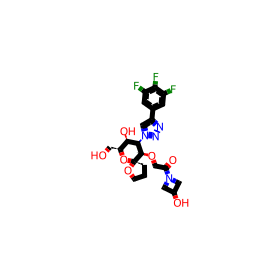 O=C(CO[C@@H]1[C@@H](n2cc(-c3cc(F)c(F)c(F)c3)nn2)[C@@H](O)[C@@H](CO)O[C@@]12CCCO2)N1CC(O)C1